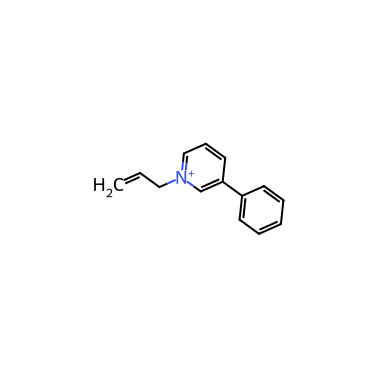 C=CC[n+]1cccc(-c2ccccc2)c1